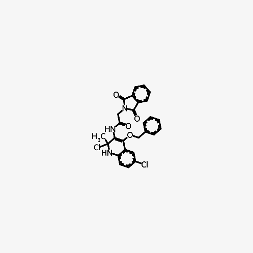 CC1(Cl)Nc2ccc(Cl)cc2C(OCc2ccccc2)=C1NC(=O)CN1C(=O)c2ccccc2C1=O